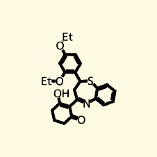 CCOc1ccc(C2CC(C3=C(O)CCCC3=O)=Nc3ccccc3S2)c(OCC)c1